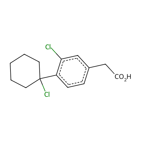 O=C(O)Cc1ccc(C2(Cl)CCCCC2)c(Cl)c1